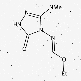 CCOC=Nn1c(NC)n[nH]c1=O